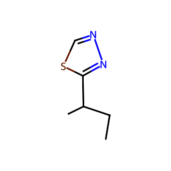 CCC(C)c1nncs1